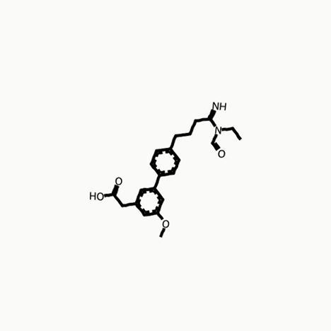 CCN(C=O)C(=N)CCCc1ccc(-c2cc(CC(=O)O)cc(OC)c2)cc1